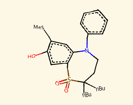 CCCCC1(CCCC)CCN(c2ccccc2)c2cc(SC)c(O)cc2S1(=O)=O